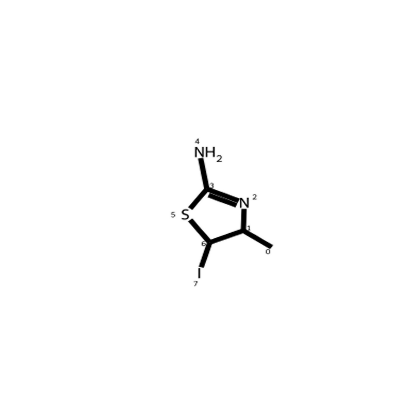 CC1N=C(N)SC1I